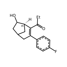 CCC(=O)C1=C(c2ccc(F)cc2)CC2CC(O)[C@@H]1C2